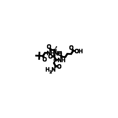 C[C@H](NC(=O)[C@H](CC(N)=O)NC(=O)CCCC(=O)O)C(=O)NCC(=O)C(C)(C)C